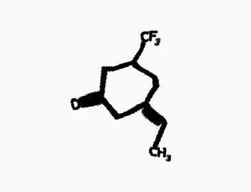 CC=C1CC(=O)CC(C(F)(F)F)C1